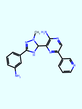 CN1N=C(c2cccc(N)c2)NC1c1nc(-c2cccnc2)cnc1N